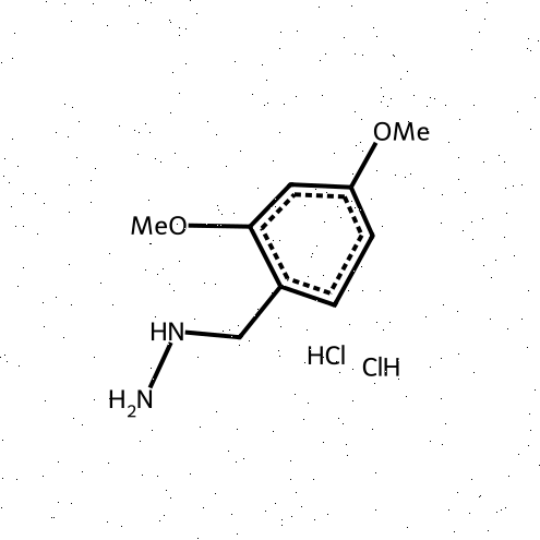 COc1ccc(CNN)c(OC)c1.Cl.Cl